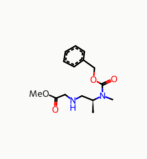 COC(=O)CNC[C@H](C)N(C)C(=O)OCc1ccccc1